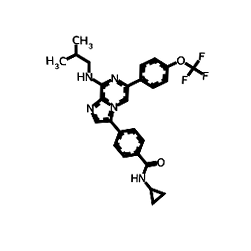 CC(C)CNc1nc(-c2ccc(OC(F)(F)F)cc2)cn2c(-c3ccc(C(=O)NC4CC4)cc3)cnc12